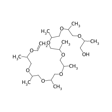 C=COC(C)COC(C)COC(C)COC(C)COC(C)COC(C)COC(C)COC(C)CO